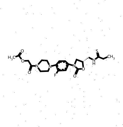 CCC(=S)NC[C@H]1CN(c2ccc(N3CCN(C(=O)COC(C)=O)CC3)c(F)c2)C(=O)O1